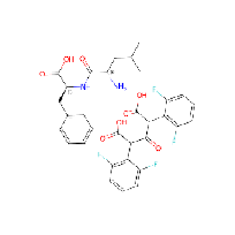 CC(C)C[C@H](N)C(=O)N[C@@H](Cc1ccccc1)C(=O)O.O=C(O)C(C(=O)C(C(=O)O)c1c(F)cccc1F)c1c(F)cccc1F